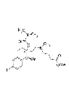 COC(=O)CCCN(C)CC[C@@]1(OC(=O)N(C)C)CCc2cc(F)ccc2[C@@H]1C(C)C